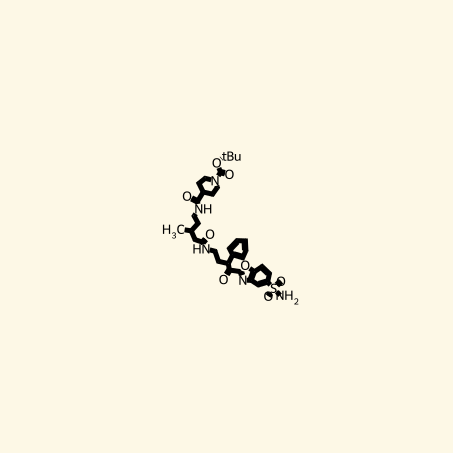 CC(CCNC(=O)C1CCN(C(=O)OC(C)(C)C)CC1)CC(=O)NCCC(C(=O)c1nc2cc(S(N)(=O)=O)ccc2o1)c1ccccc1